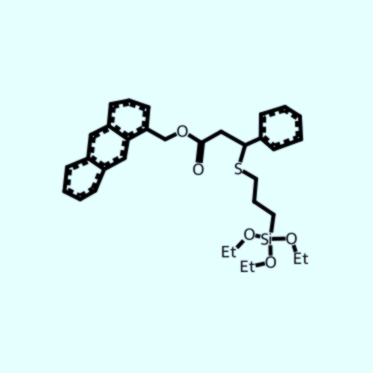 CCO[Si](CCCSC(CC(=O)OCc1cccc2cc3ccccc3cc12)c1ccccc1)(OCC)OCC